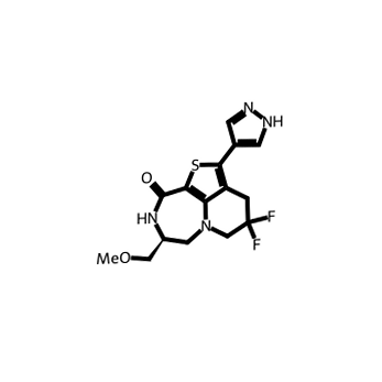 COC[C@@H]1CN2CC(F)(F)Cc3c(-c4cn[nH]c4)sc(c32)C(=O)N1